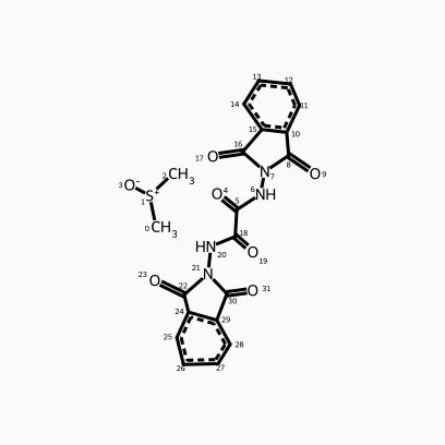 C[S+](C)[O-].O=C(NN1C(=O)c2ccccc2C1=O)C(=O)NN1C(=O)c2ccccc2C1=O